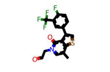 Cc1cn(CC=O)c(=O)c2c(-c3ccc(F)c(C(F)(F)F)c3)csc12